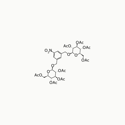 CC(=O)OC[C@H]1O[C@@H](OCc2cc(CO[C@@H]3O[C@H](COC(C)=O)[C@@H](OC(C)=O)[C@H](OC(C)=O)[C@H]3OC(C)=O)cc([N+](=O)[O-])c2)[C@H](OC(C)=O)[C@@H](OC(C)=O)[C@@H]1OC(C)=O